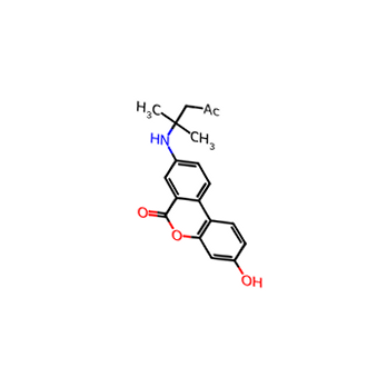 CC(=O)CC(C)(C)Nc1ccc2c(c1)c(=O)oc1cc(O)ccc12